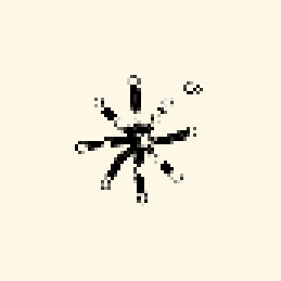 O=[C]=[Co](=[C]=O)(=[C]=O)(=[C]=O)(=[C]=O)(=[C]=O)(=[C]=O)=[C]=O.[Co]